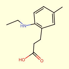 CCNc1ccc(C)cc1CCC(=O)O